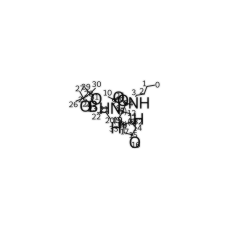 CCCCNC(=O)[C@]1(NC(C)=O)C[C@H]2CC(=O)C[C@H]2[C@@H]1CCCB1OC(C)(C)C(C)(C)O1